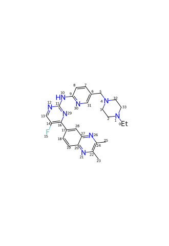 CCN1CCN(Cc2ccc(Nc3ncc(F)c(-c4ccc5nc(C)c(C)nc5c4)n3)nc2)CC1